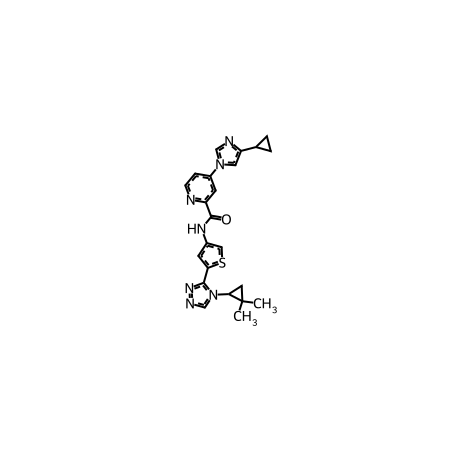 CC1(C)CC1n1cnnc1-c1cc(NC(=O)c2cc(-n3cnc(C4CC4)c3)ccn2)cs1